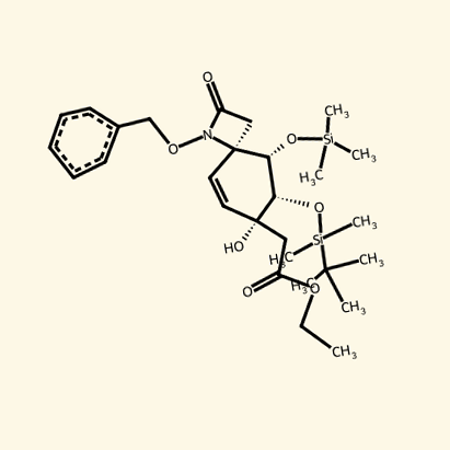 CCOC(=O)C[C@@]1(O)C=C[C@]2(CC(=O)N2OCc2ccccc2)[C@H](O[Si](C)(C)C)[C@@H]1O[Si](C)(C)C(C)(C)C